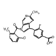 Cc1cc2c(-c3ccc(C(=O)O)cc3F)cn(C(=O)c3c(C)cccc3Cl)c2cn1